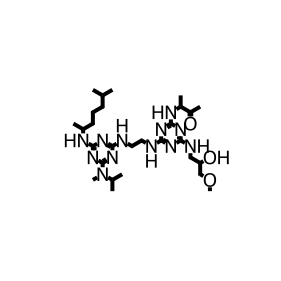 COCC(O)CNc1nc(NCCNc2nc(NC(C)CCCC(C)C)nc(N(C)C(C)C)n2)nc(NC(C)C(C)=O)n1